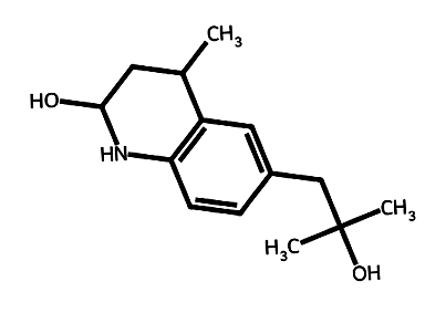 CC1CC(O)Nc2ccc(CC(C)(C)O)cc21